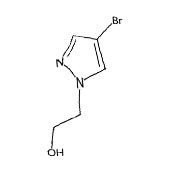 OCCn1cc(Br)cn1